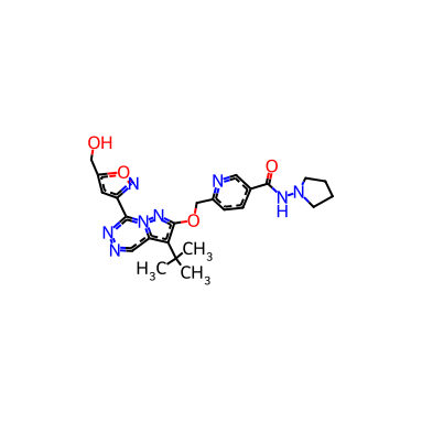 CC(C)(C)c1c(OCc2ccc(C(=O)NN3CCCC3)cn2)nn2c(-c3cc(CO)on3)nncc12